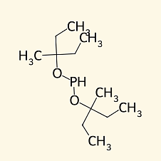 CCC(C)(CC)OPOC(C)(CC)CC